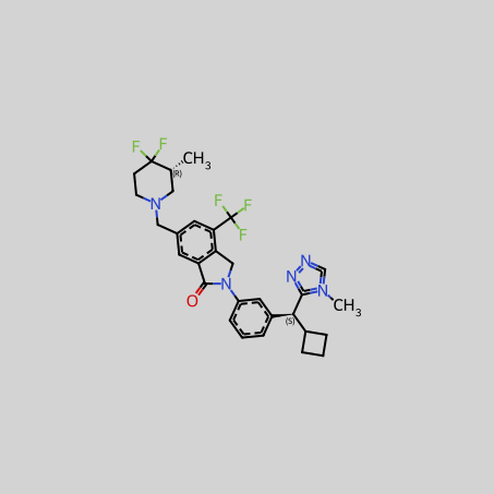 C[C@@H]1CN(Cc2cc3c(c(C(F)(F)F)c2)CN(c2cccc([C@@H](c4nncn4C)C4CCC4)c2)C3=O)CCC1(F)F